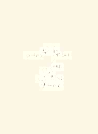 CCCCCCN1CCCC(C(=O)N(CCCC)CCCCCCN(CCCC)C(=O)C2CCCN(CCCCCC)C2)C1.I.I